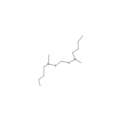 CCCCN(C)SCSN(C)CCCC